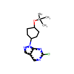 CC(C)(C)[Si](C)(C)OC1CCC(n2ncc3cnc(Cl)nc32)CC1